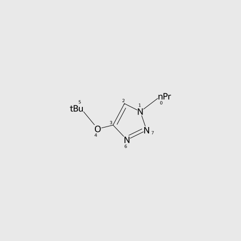 CCCn1cc(OC(C)(C)C)nn1